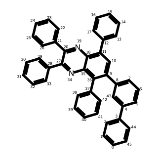 c1ccc(-c2cccc(-c3cc(-c4ccccc4)c4nc(-c5ccccc5)c(-c5ccccc5)nc4c3-c3ccccc3)c2)cc1